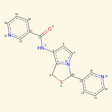 O=C(Nc1ccn2c1CSC2c1cccnc1)c1cccnc1